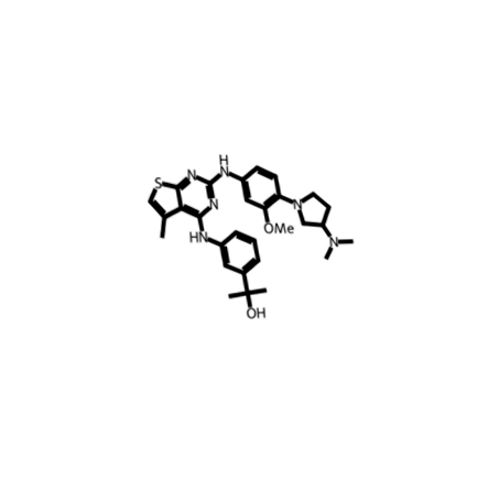 COc1cc(Nc2nc(Nc3cccc(C(C)(C)O)c3)c3c(C)csc3n2)ccc1N1CCC(N(C)C)C1